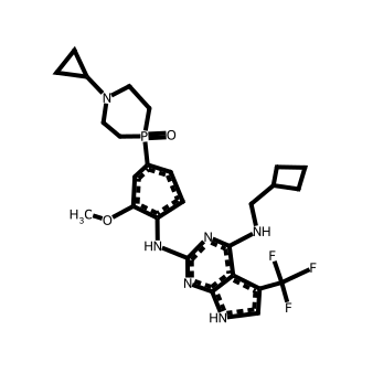 COc1cc(P2(=O)CCN(C3CC3)CC2)ccc1Nc1nc(NCC2CCC2)c2c(C(F)(F)F)c[nH]c2n1